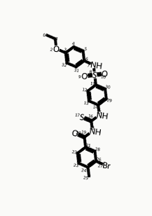 CCOc1ccc(NS(=O)(=O)c2ccc(NC(=S)NC(=O)c3ccc(C)c(Br)c3)cc2)cc1